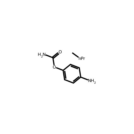 CCCC.NC(=O)Oc1ccc(N)cc1